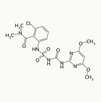 COc1cc(OC)nc(NC(=O)NS(=O)(=O)Nc2cccc(Cl)c2C(=O)N(C)C)n1